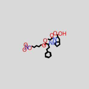 CC(NC(CCc1ccccc1)C(=O)OCCCCCO[N+](=O)[O-])C(=O)N1C(C(=O)O)CC2CCCC21